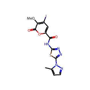 COc1c(I)cc(C(=O)Nc2nnc(-n3nccc3C)s2)oc1=O